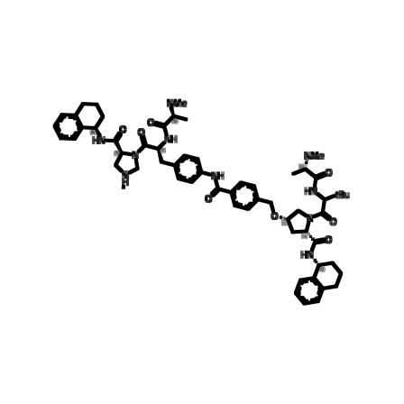 CN[C@@H](C)C(=O)NC(C(=O)N1C[C@@H](OCc2ccc(C(=O)Nc3ccc(C[C@H](NC(=O)[C@H](C)NC)C(=O)N4C[SiH](C)C[C@H]4C(=O)N[C@@H]4CCCc5ccccc54)cc3)cc2)C[C@H]1C(=O)N[C@@H]1CCCc2ccccc21)C(C)(C)C